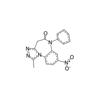 Cc1nnc2n1-c1ccc([N+](=O)[O-])cc1N(c1ccccc1)C(=O)C2